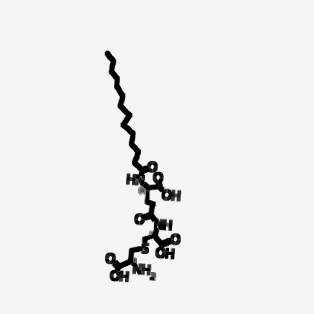 CCCCCCCCCCCCCC(=O)N[C@H](CCC(=O)N[C@H](CSC[C@H](N)C(=O)O)C(=O)O)C(=O)O